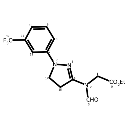 CCOC(=O)CN(C=O)C1=NN(c2cccc(C(F)(F)F)c2)CC1